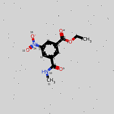 CCOC(=O)c1cc(C(=O)NC)cc([N+](=O)[O-])c1